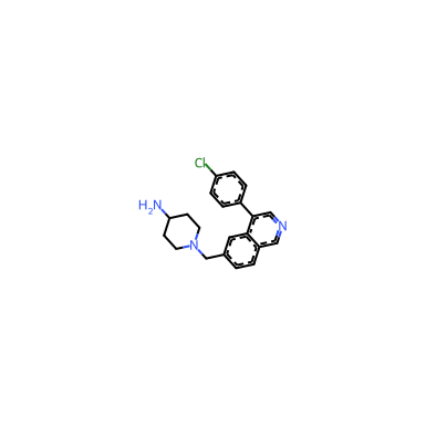 NC1CCN(Cc2ccc3cncc(-c4ccc(Cl)cc4)c3c2)CC1